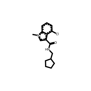 Cn1cc(C(=O)NCC2CCCC2)c2c(Cl)cccc21